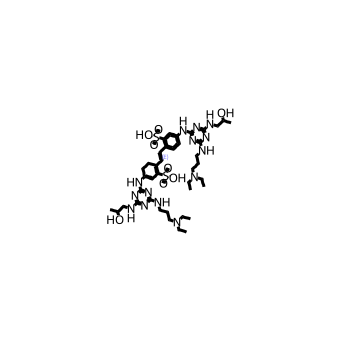 CCN(CC)CCCNc1nc(NCC(C)O)nc(NC2=CC(S(=O)(=O)O)=C(/C=C/c3ccc(Nc4nc(NCCCN(CC)CC)nc(NCC(C)O)n4)cc3S(=O)(=O)O)CC2)n1